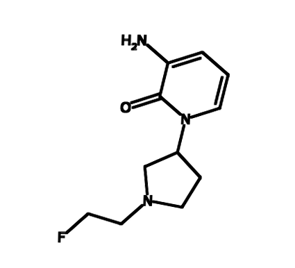 Nc1cccn(C2CCN(CCF)C2)c1=O